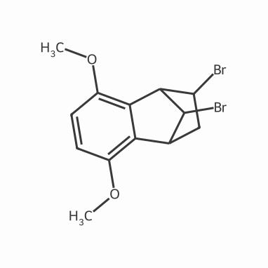 COc1ccc(OC)c2c1C1CC(Br)C2C1Br